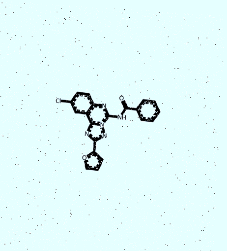 O=C(Nc1nc2ccc(Cl)cc2c2nc(-c3ccco3)nn12)c1ccccc1